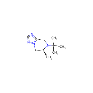 C[C@H]1Cn2ncnc2CN1C(C)(C)C